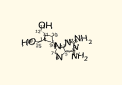 Nc1nc(N)c2ncn([C@H]3C[C@@H](CO)[C@@H]3CO)c2n1